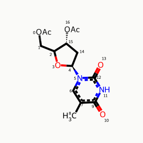 CC(=O)OCC1O[C@H](n2cc(C)c(=O)[nH]c2=O)C[C@H]1OC(C)=O